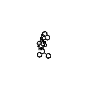 O=C(NCC(c1ccccc1)c1ccccc1)C1SCCN1S(=O)(=O)c1cccc2cccnc12